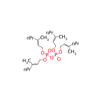 CCC/C(C)=C/COP(=O)(OC/C=C(\C)CCC)OP(=O)(OC/C=C(\C)CCC)OC/C=C(\C)CCC